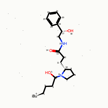 CC[C@H](C)CCCC(O)N1CCC[C@H]1CCC(=O)NC[C@@H](O)c1ccccc1